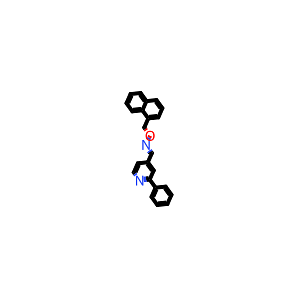 C(=NOCc1cccc2ccccc12)c1ccnc(-c2ccccc2)c1